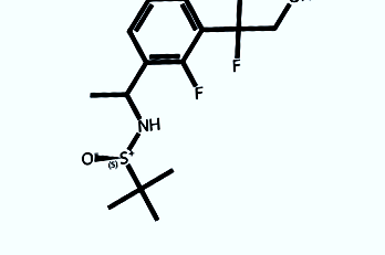 CC(N[S@+]([O-])C(C)(C)C)c1cccc(C(F)(F)CO)c1F